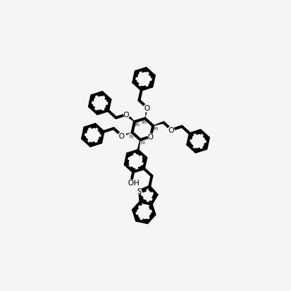 Oc1ccc([C@@H]2O[C@H](COCc3ccccc3)[C@@H](OCc3ccccc3)[C@H](OCc3ccccc3)[C@H]2OCc2ccccc2)cc1Cc1cc2ccccc2s1